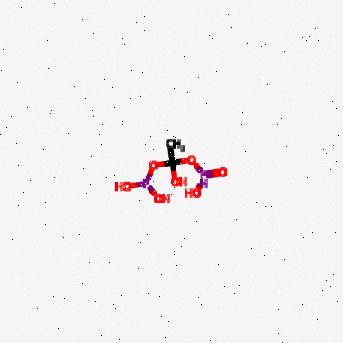 CC(O)(OP(O)O)O[PH](=O)O